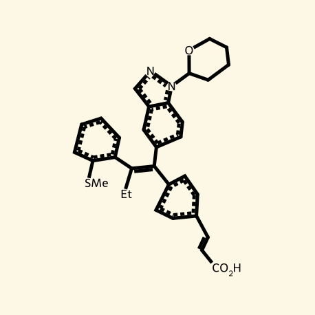 CCC(=C(c1ccc(C=CC(=O)O)cc1)c1ccc2c(cnn2C2CCCCO2)c1)c1ccccc1SC